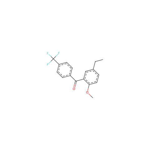 CCc1ccc(OC)c(C(=O)c2ccc(C(F)(F)F)cc2)c1